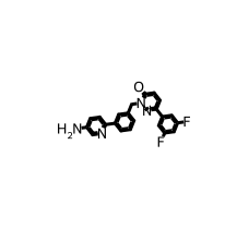 Nc1ccc(-c2cccc(Cn3nc(-c4cc(F)cc(F)c4)ccc3=O)c2)nc1